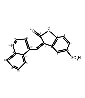 O=C1Nc2ccc(S(=O)(=O)O)cc2C1=Cc1ccnc2ccccc12